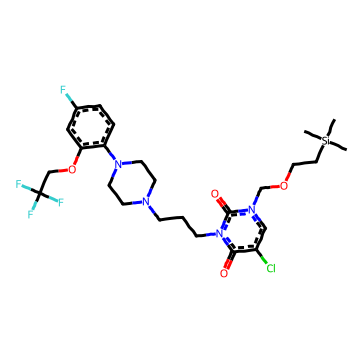 C[Si](C)(C)CCOCn1cc(Cl)c(=O)n(CCCN2CCN(c3ccc(F)cc3OCC(F)(F)F)CC2)c1=O